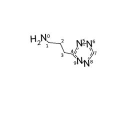 NCCCc1nncnn1